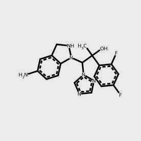 CC(O)(c1ccc(F)cc1F)C(N1NCc2cc(N)ccc21)n1cncn1